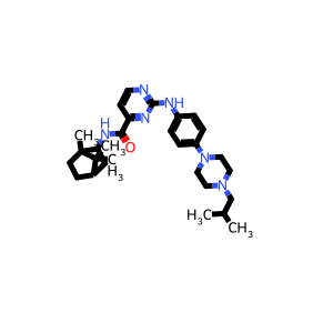 CC(C)CN1CCN(c2ccc(Nc3nccc(C(=O)NC4CC5CCC4(C)C5(C)C)n3)cc2)CC1